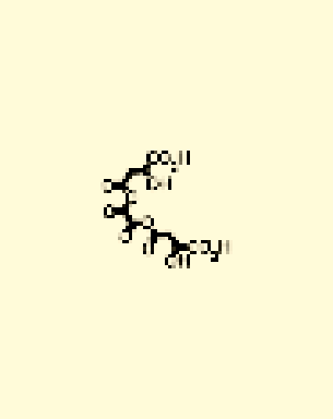 O=C(CC(O)C(=O)O)OC(=O)C(=O)OC(=O)CC(O)C(=O)O